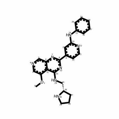 COc1cncc2nc(-c3ccnc(Nc4ccccc4)c3)nc(NC[C@@H]3CCCN3)c12